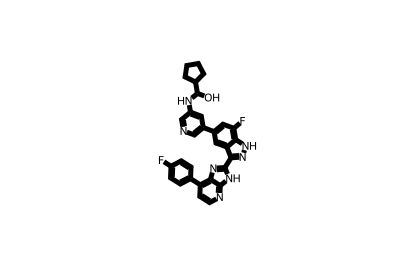 OC(Nc1cncc(-c2cc(F)c3[nH]nc(-c4nc5c(-c6ccc(F)cc6)ccnc5[nH]4)c3c2)c1)C1CCCC1